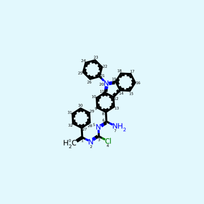 C=C(/N=C(Cl)\N=C(/N)c1ccc2c(c1)c1ccccc1n2-c1ccccc1)c1ccccc1